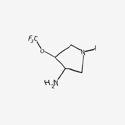 NC1CN(I)CC1OC(F)(F)F